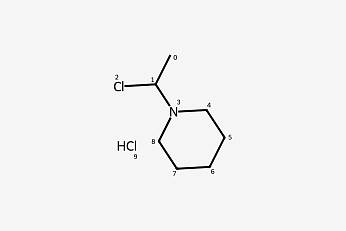 CC(Cl)N1CCCCC1.Cl